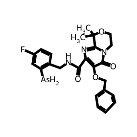 CC1(C)OCCn2c1nc(C(=O)NCc1ccc(F)cc1[AsH2])c(OCc1ccccc1)c2=O